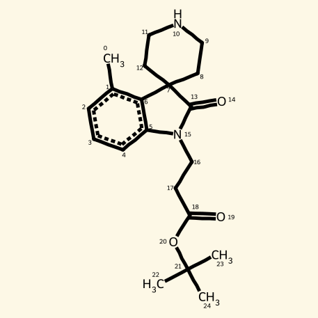 Cc1cccc2c1C1(CCNCC1)C(=O)N2CCC(=O)OC(C)(C)C